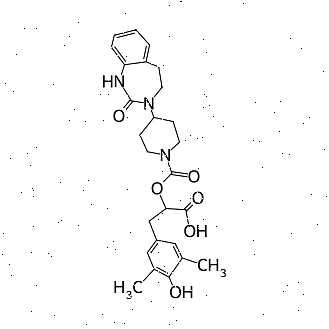 Cc1cc(CC(OC(=O)N2CCC(N3CCc4ccccc4NC3=O)CC2)C(=O)O)cc(C)c1O